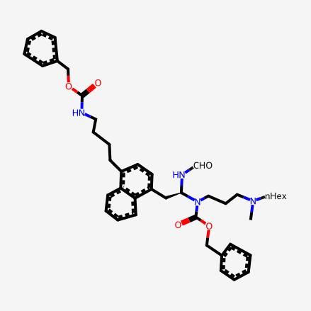 CCCCCCN(C)CCCN(C(=O)OCc1ccccc1)[C@@H](Cc1ccc(CCCCNC(=O)OCc2ccccc2)c2ccccc12)NC=O